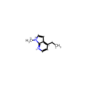 CCc1ccnc2c1ccn2C